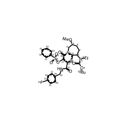 CCN(C(=O)OC(C)(C)C)C1CC[C@H](OC)Cn2c1nc(C(=O)NCc1ccc(F)cc1)c(OS(=O)(=O)c1ccccc1)c2=O